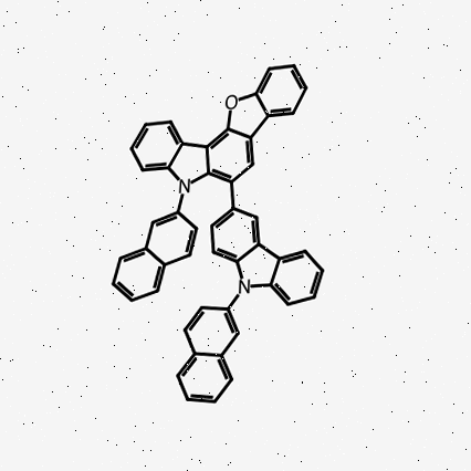 c1ccc2cc(-n3c4ccccc4c4cc(-c5cc6c7ccccc7oc6c6c7ccccc7n(-c7ccc8ccccc8c7)c56)ccc43)ccc2c1